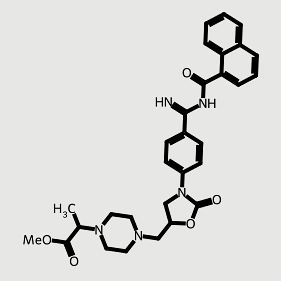 COC(=O)C(C)N1CCN(CC2CN(c3ccc(C(=N)NC(=O)c4cccc5ccccc45)cc3)C(=O)O2)CC1